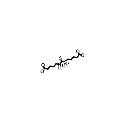 O=C([O-])CCCCNC(=S)SCCCCC(=O)[O-].[Li+].[Li+]